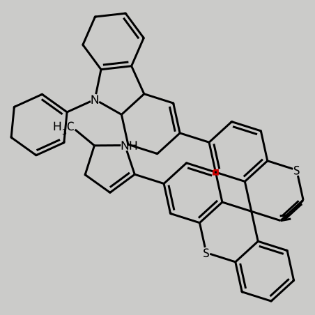 CC1CC=C(c2ccc3c(c2)Sc2ccccc2C32C3=CC=CCC3Sc3ccc(C4=CC5C6=C(CCC=C6)N(C6=CCCC=C6)C5CC4)cc32)N1